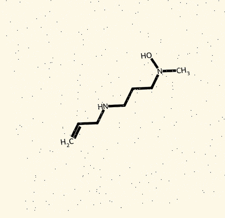 C=CCNCCCN(C)O